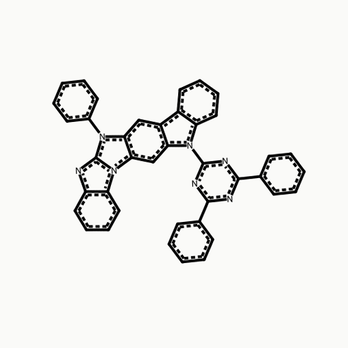 c1ccc(-c2nc(-c3ccccc3)nc(-n3c4ccccc4c4cc5c(cc43)n3c4ccccc4nc3n5-c3ccccc3)n2)cc1